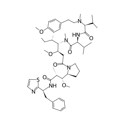 CC[C@H](C)[C@@H]([C@@H](CC(=O)N1CCC[C@H]1[C@H](OC)[C@@H](C)C(=O)N[C@@H](Cc1ccccc1)c1nccs1)OC)N(C)C(=O)[C@@H](NC(=O)[C@H](C(C)C)N(C)CCc1ccc(OC)cc1)C(C)C